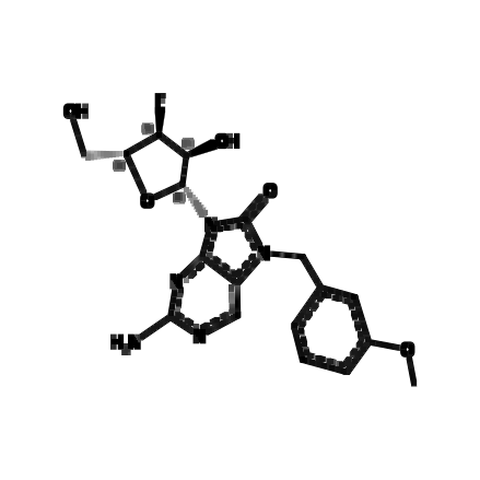 COc1cccc(Cn2c(=O)n([C@@H]3O[C@H](CO)[C@@H](F)[C@H]3O)c3nc(N)ncc32)c1